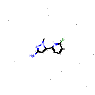 Cn1nc(N)cc1-c1cccc(Br)n1